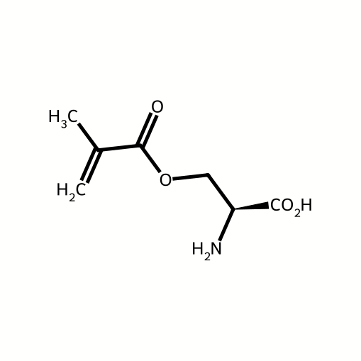 C=C(C)C(=O)OC[C@H](N)C(=O)O